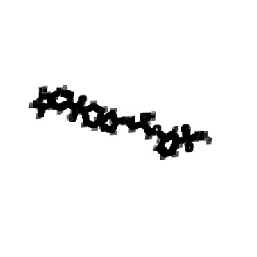 Cc1n[nH]c2ncc(S(=O)(=O)N3CCC4(CC3)CC(NCC(O)COc3cccc(S(N)(=O)=O)c3)CO4)cc12